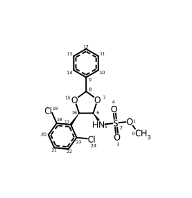 COS(=O)(=O)N[C@@H]1OC(c2ccccc2)O[C@@H]1c1c(Cl)cccc1Cl